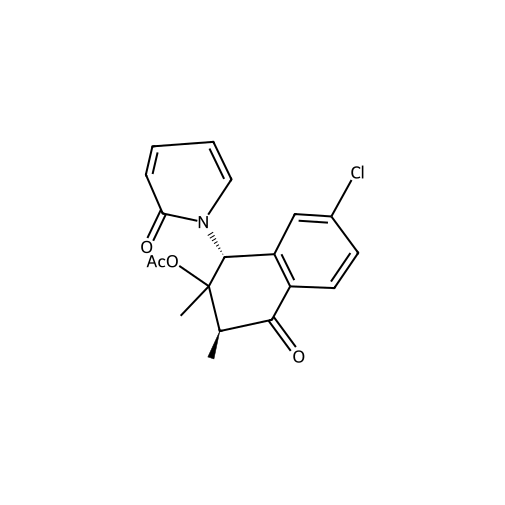 CC(=O)OC1(C)[C@H](C)C(=O)c2ccc(Cl)cc2[C@H]1n1ccccc1=O